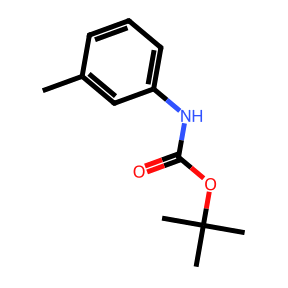 Cc1cccc(NC(=O)OC(C)(C)C)c1